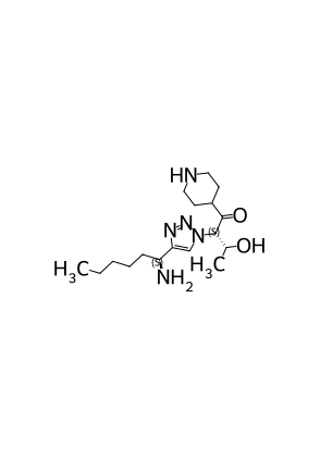 CCCCC[C@H](N)c1cn([C@H](C(=O)C2CCNCC2)C(C)O)nn1